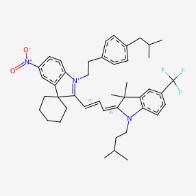 CC(C)CCN1/C(=C/C=C/C2=[N+](CCc3ccc(CC(C)C)cc3)c3ccc([N+](=O)[O-])cc3C23CCCCC3)C(C)(C)c2cc(C(F)(F)F)ccc21